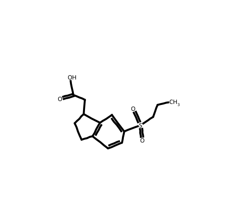 CCCS(=O)(=O)c1ccc2c(c1)C(CC(=O)O)CC2